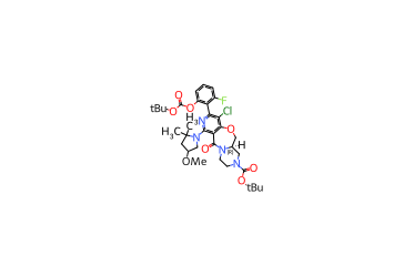 COC1CN(c2nc(-c3c(F)cccc3OC(=O)OC(C)(C)C)c(Cl)c3c2C(=O)N2CCN(C(=O)OC(C)(C)C)C[C@@H]2CO3)C(C)(C)C1